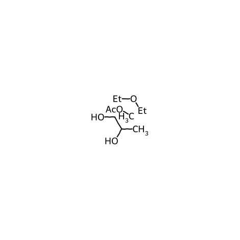 CC(O)CO.CCOCC.COC(C)=O